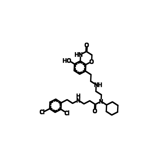 O=C1COc2c(CCNCCN(C(=O)CCNCCc3ccc(Cl)cc3Cl)C3CCCCC3)ccc(O)c2N1